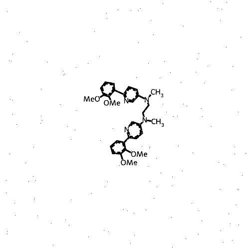 COc1cccc(-c2ccc(N(C)CCN(C)c3ccc(-c4cccc(OC)c4OC)nc3)cn2)c1OC